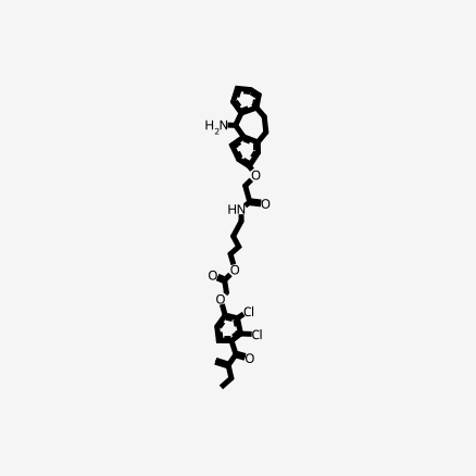 C=C(CC)C(=O)c1ccc(OCC(=O)OCCCCNC(=O)COc2ccc3c(c2)CCc2ccccc2C3N)c(Cl)c1Cl